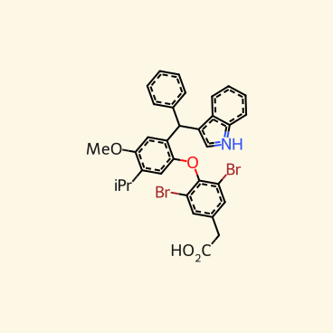 COc1cc(C(c2ccccc2)c2c[nH]c3ccccc23)c(Oc2c(Br)cc(CC(=O)O)cc2Br)cc1C(C)C